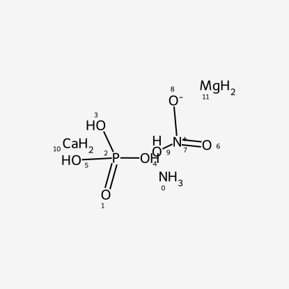 N.O=P(O)(O)O.O=[N+]([O-])O.[CaH2].[MgH2]